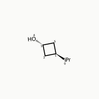 CC(C)[C@H]1C[C@H](O)C1